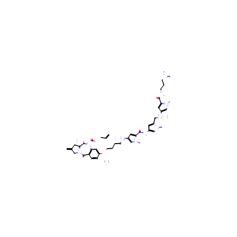 C=CCOC(=O)N1c2cc(OCCCC(=O)Nc3cc(C(=O)Nc4cc(C(=O)Nc5cc(C(=O)NCCCN(C)C)n(C)c5)n(C)c4)n(C)c3)c(OC)cc2C(=O)N2CC(=C)C[C@H]2C1O